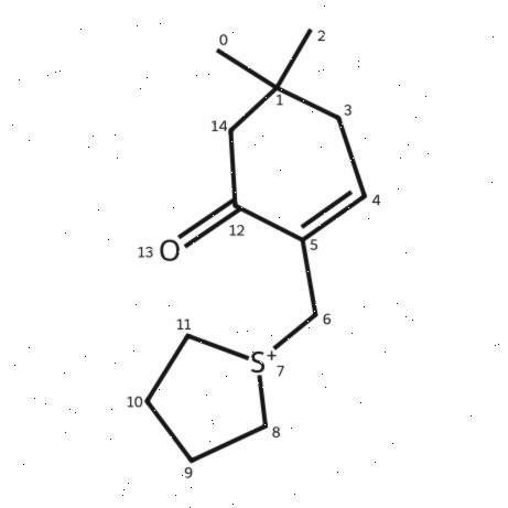 CC1(C)CC=C(C[S+]2CCCC2)C(=O)C1